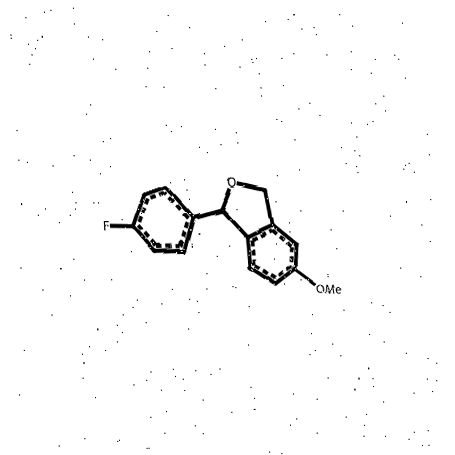 COc1ccc2c(c1)COC2c1ccc(F)cc1